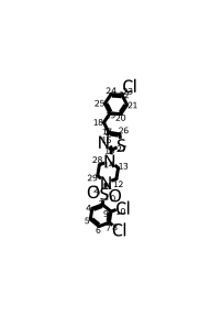 O=S(=O)(c1cccc(Cl)c1Cl)N1CCN(c2nc(Cc3ccc(Cl)cc3)cs2)CC1